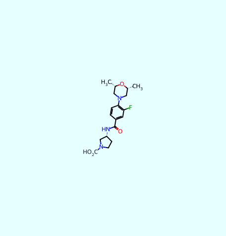 C[C@@H]1CN(c2ccc(C(=O)N[C@@H]3CCN(C(=O)O)C3)cc2F)C[C@H](C)O1